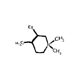 CCC1C[N+](C)(C)CCC1C